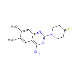 COc1cc2nc(N3CCC(=S)CC3)nc(N)c2cc1OC